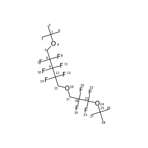 CC(C)(C)OCC(F)(F)C(F)(F)C(F)(F)COCC(F)(F)C(F)(F)OC(C)(C)C